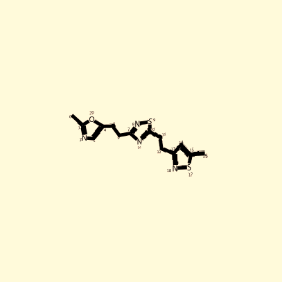 Cc1ncc(CCc2nsc(CCc3cc(C)sn3)n2)o1